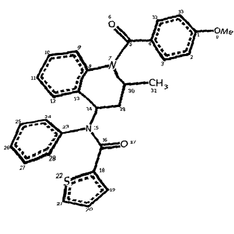 COc1ccc(C(=O)N2c3ccccc3C(N(C(=O)c3cccs3)c3ccccc3)CC2C)cc1